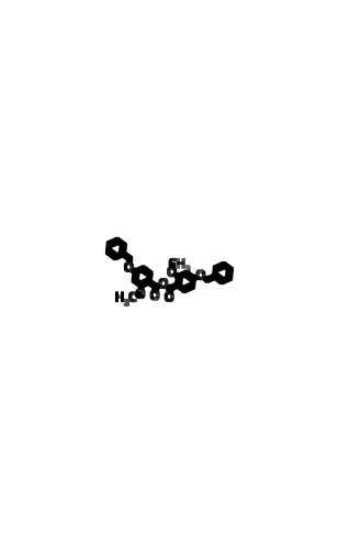 COc1cc(OCc2ccccc2)ccc1C(=O)OC(=O)c1ccc(OCc2ccccc2)cc1OC